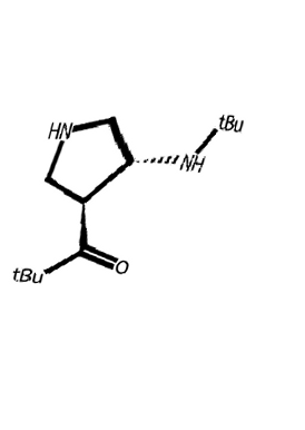 CC(C)(C)N[C@H]1CNC[C@@H]1C(=O)C(C)(C)C